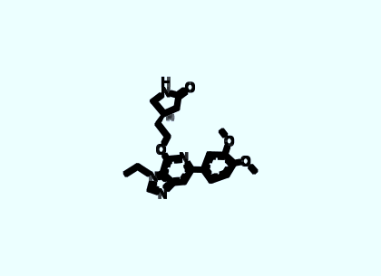 CCn1cnc2cc(-c3ccc(OC)c(OC)c3)nc(OCC[C@H]3CNC(=O)C3)c21